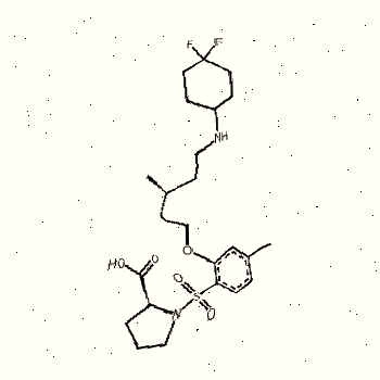 Cc1ccc(S(=O)(=O)N2CCC[C@H]2C(=O)O)c(OCC[C@@H](C)CCNC2CCC(F)(F)CC2)c1